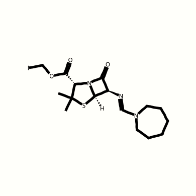 CC1(C)S[C@@H]2[C@H](N=CN3CCCCCC3)C(=O)N2[C@H]1C(=O)OCI